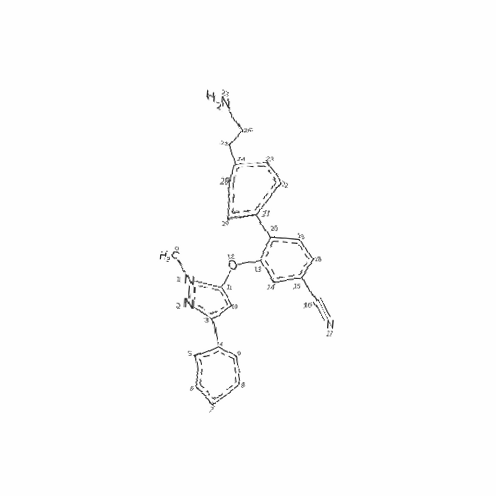 Cn1nc(-c2ccccc2)cc1Oc1cc(C#N)ccc1-c1ccc(CCN)cc1